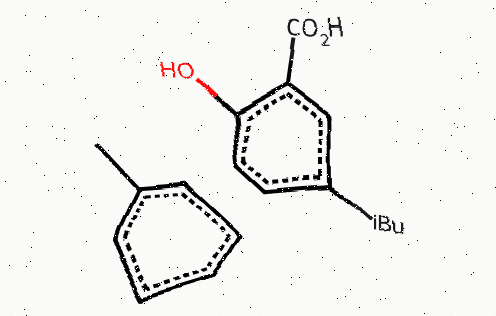 CCC(C)c1ccc(O)c(C(=O)O)c1.Cc1ccccc1